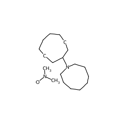 C1CCCCC(N2CCCCCCCC2)CCC1.CN(C)[O]